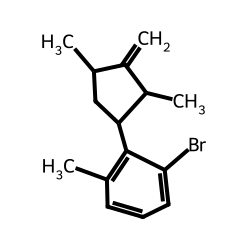 C=C1C(C)CC(c2c(C)cccc2Br)C1C